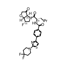 CC(C)C[C@H](NC(=O)c1ccc(-c2csc(N3CCC(F)(F)CC3)n2)cc1)C(=O)N1C[C@H](F)[C@H]2OCC(=O)[C@H]21